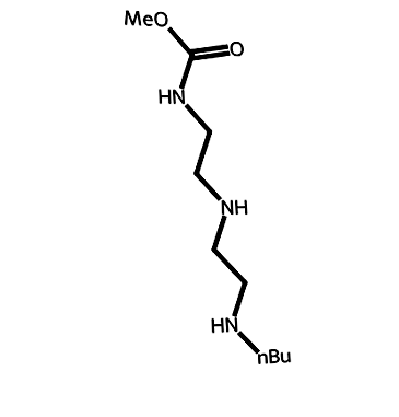 CCCCNCCNCCNC(=O)OC